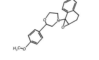 COc1ccc(C2CN(C34OC3CCc3ccccc34)CCO2)cc1